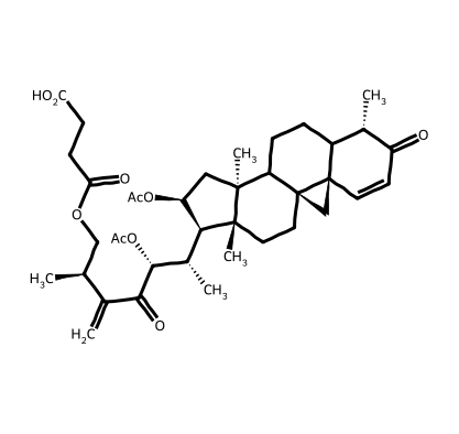 C=C(C(=O)[C@H](OC(C)=O)[C@@H](C)[C@H]1[C@@H](OC(C)=O)C[C@@]2(C)C3CCC4[C@H](C)C(=O)C=C[C@@]45C[C@@]35CC[C@]12C)[C@@H](C)COC(=O)CCC(=O)O